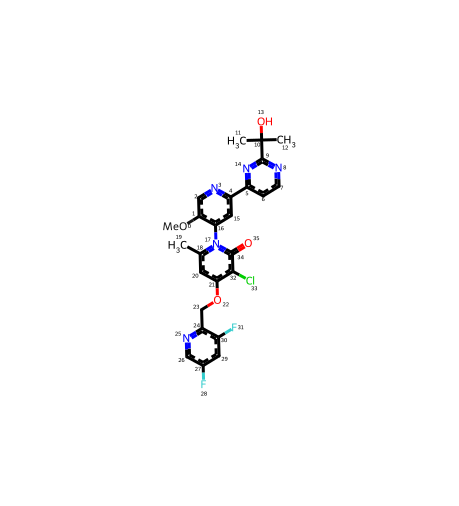 COc1cnc(-c2ccnc(C(C)(C)O)n2)cc1-n1c(C)cc(OCc2ncc(F)cc2F)c(Cl)c1=O